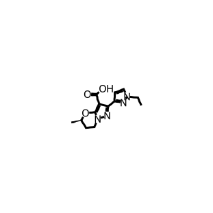 CCn1ccc(-c2nn3c(c2C(=O)O)O[C@H](C)CC3)n1